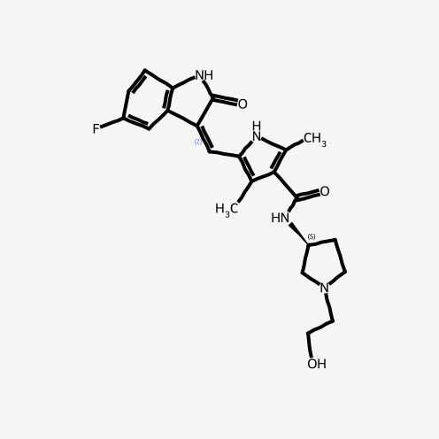 Cc1[nH]c(/C=C2\C(=O)Nc3ccc(F)cc32)c(C)c1C(=O)N[C@H]1CCN(CCO)C1